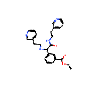 CCOC(=O)c1cccc(C(NCCc2cccnc2)C(=O)NCCc2cccnc2)c1